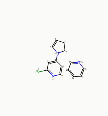 Brc1cc(N2C=CCC2)ccn1.c1ccncc1